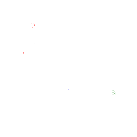 Cc1nc(C=CC(=O)O)ccc1Br